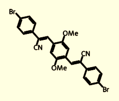 COc1cc(/C=C(\C#N)c2ccc(Br)cc2)c(OC)cc1/C=C(\C#N)c1ccc(Br)cc1